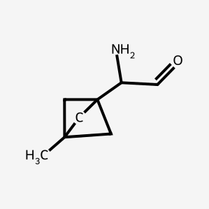 CC12CC(C(N)C=O)(C1)C2